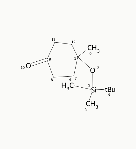 CC1(O[Si](C)(C)C(C)(C)C)CCC(=O)CC1